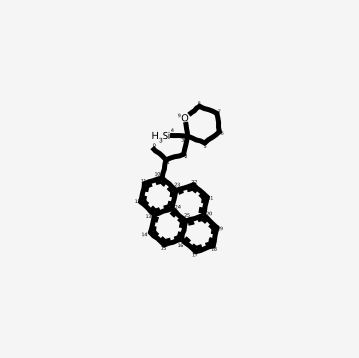 CC(CC1([SiH3])CCCCO1)c1ccc2ccc3cccc4ccc1c2c34